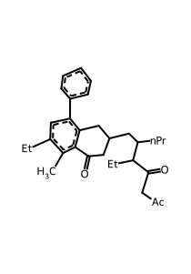 CCCC(CC1CC(=O)c2c(C)c(CC)cc(-c3ccccc3)c2C1)C(CC)C(=O)CC(C)=O